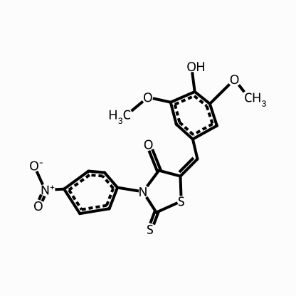 COc1cc(/C=C2/SC(=S)N(c3ccc([N+](=O)[O-])cc3)C2=O)cc(OC)c1O